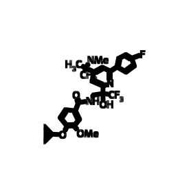 CNC(C)(C)c1cc(-c2ccc(F)cc2)nc(C(O)(CNC(=O)c2ccc(OC3CC3)c(OC)c2)C(F)(F)F)c1